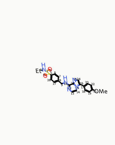 CCNS(=O)(=O)c1ccc(CNc2nccn3c(-c4ccc(OC)cc4)cnc23)cc1